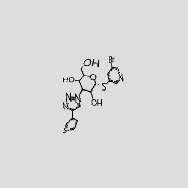 OCC1O[C@H](Sc2cncc(Br)c2)C(O)C(n2cc(-c3ccsc3)nn2)[C@H]1O